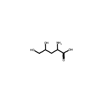 NC(CC(O)CO)C(=O)O